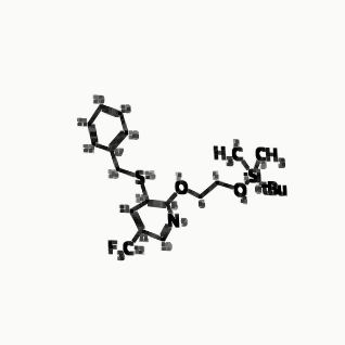 CC(C)(C)[Si](C)(C)OCCOc1ncc(C(F)(F)F)cc1SCc1ccccc1